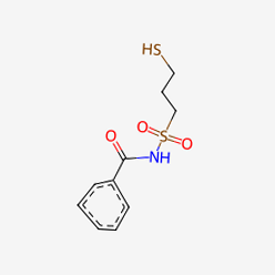 O=C(NS(=O)(=O)CCCS)c1ccccc1